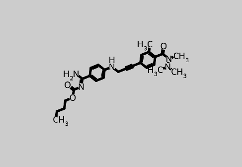 CCCCOC(=O)N=C(N)c1ccc(NCC#Cc2ccc(C(=O)N(C)N(C)C)c(C)c2)cc1